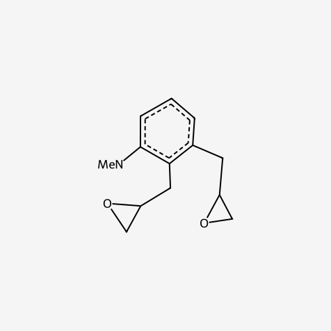 CNc1cccc(CC2CO2)c1CC1CO1